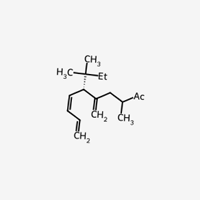 C=C/C=C\[C@@H](C(=C)CC(C)C(C)=O)C(C)(C)CC